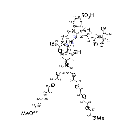 C=C(/C=C(/C=C/C=C1\N(CCCS(=O)(=O)O)c2ccc(S(=O)(=O)O)cc2C1(C)CCCC(=O)ON1C(=O)CCC1=O)c1ccc(N(CCOCCOCCOCCOCCOC)CCOCCOCCOCCOCCOC)cc1O)C(C)(C)C